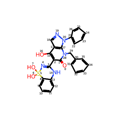 O=c1c(C2=NS(O)(O)c3ccccc3N2)c(O)c2cnn(-c3ccccc3)c2n1Cc1ccccc1